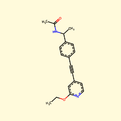 CCOc1cc(C#Cc2ccc(C(C)NC(C)=O)cc2)ccn1